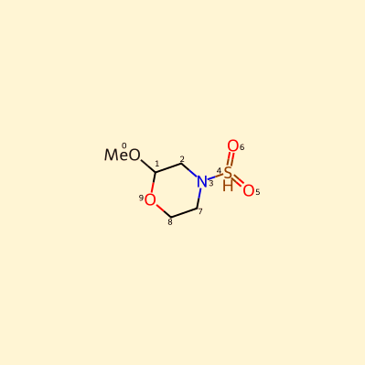 COC1CN([SH](=O)=O)CCO1